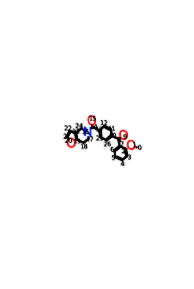 COc1ccccc1C(=O)c1ccc(C(=O)N2CCc3occc3C2)cc1